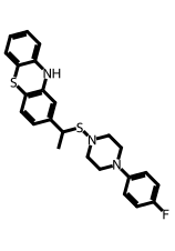 CC(SN1CCN(c2ccc(F)cc2)CC1)c1ccc2c(c1)Nc1ccccc1S2